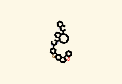 C=C(/C=c1/ccccc1=C)c1ccccccc(/C(C)=C/C(=C\C)c2ccc3sc4cc5ccc6oc7ccccc7c6c5cc4c3c2)c2ccccc12